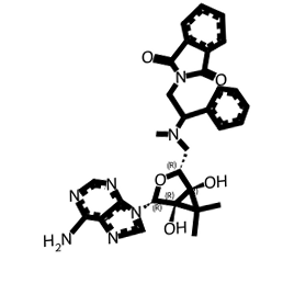 CN(C[C@H]1O[C@@H](n2cnc3c(N)ncnc32)[C@@]2(O)C(C)(C)[C@@]12O)C(CN1C(=O)c2ccccc2C1=O)c1ccccc1